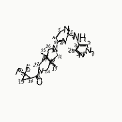 Cn1cc(Nc2nccc(N3C[C@]4(C)CN(C(=O)C5CC5(F)F)C[C@]4(C)C3)n2)cn1